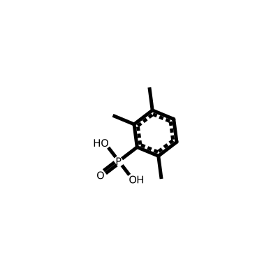 Cc1ccc(C)c(P(=O)(O)O)c1C